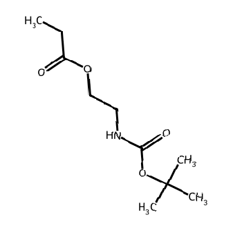 CCC(=O)OCCNC(=O)OC(C)(C)C